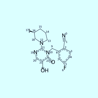 N#Cc1ccc(F)cc1Cn1c(N2CCC[C@H](I)C2)ncc(O)c1=O